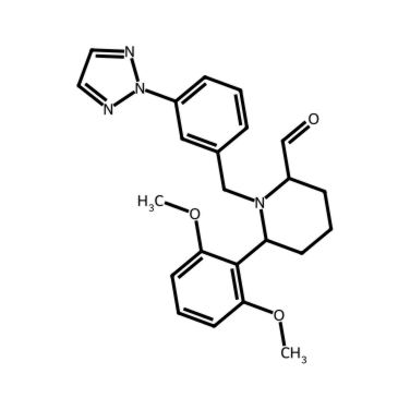 COc1cccc(OC)c1C1CCCC(C=O)N1Cc1cccc(-n2nccn2)c1